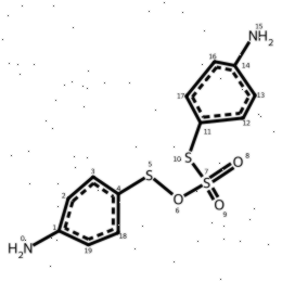 Nc1ccc(SOS(=O)(=O)Sc2ccc(N)cc2)cc1